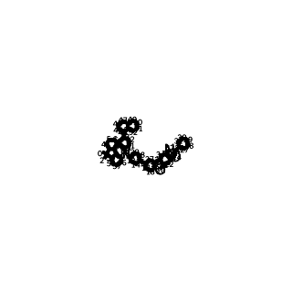 CC1(C)c2ccccc2-c2c(N(c3ccc(-c4ccc5oc6cc7oc(-c8ccccc8)nc7cc6c5c4)cc3)c3ccc(-c4cccc5ccccc45)cc3)cccc21